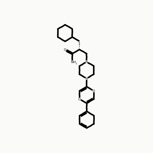 NC(=O)[C@H](CC1CCCCC1)CN1CCN(C2=COC(C3=CC=CCC3)=CO2)CC1